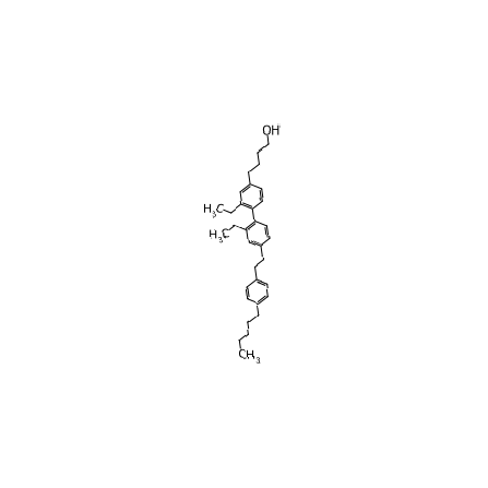 CCCCCc1ccc(CCc2ccc(-c3ccc(CCCCO)cc3CC)c(CC)c2)cc1